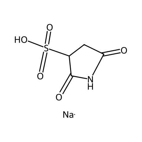 O=C1CC(S(=O)(=O)O)C(=O)N1.[Na]